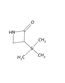 C[Si](C)(C)C1CNC1=O